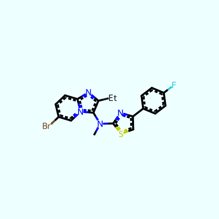 CCc1nc2ccc(Br)cn2c1N(C)c1nc(-c2ccc(F)cc2)cs1